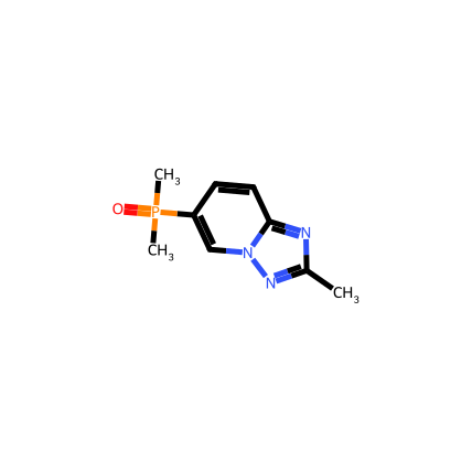 Cc1nc2ccc(P(C)(C)=O)cn2n1